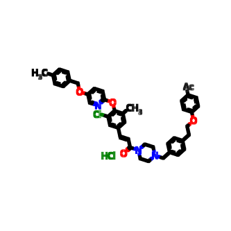 CC(=O)c1ccc(OCCc2ccc(CN3CCN(C(=O)C=Cc4cc(C)c(Oc5ccc(OCc6ccc(C)cc6)cn5)c(Cl)c4)CC3)cc2)cc1.Cl